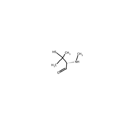 CN[C@H](C=O)C(C)(C)S